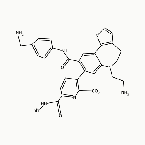 CCCNC(=O)c1ccc(-c2cc3c(cc2C(=O)Nc2ccc(CN)cc2)-c2sccc2CCN3CCN)c(C(=O)O)n1